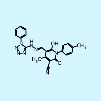 Cc1ccc(-n2c(O)c(/C=N/Nc3nnnn3-c3ccccc3)c(C)c(C#N)c2=O)cc1